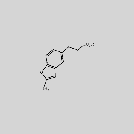 Bc1cc2cc(CCC(=O)OCC)ccc2o1